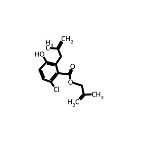 C=C(C)COC(=O)c1c(Cl)ccc(O)c1CC(=C)C